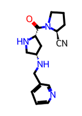 N#C[C@@H]1CCCN1C(=O)[C@@H]1C[C@H](NCc2cccnc2)CN1